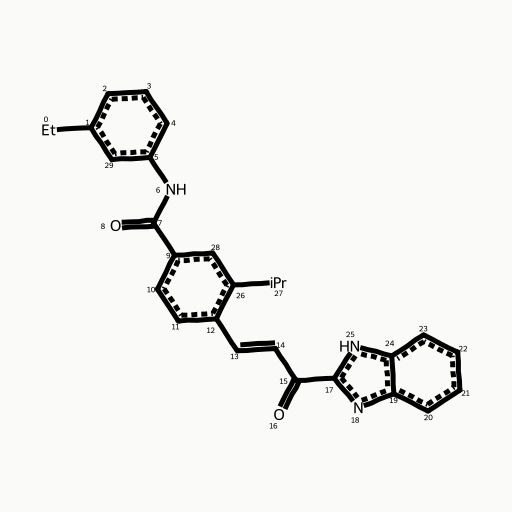 CCc1cccc(NC(=O)c2ccc(C=CC(=O)c3nc4ccccc4[nH]3)c(C(C)C)c2)c1